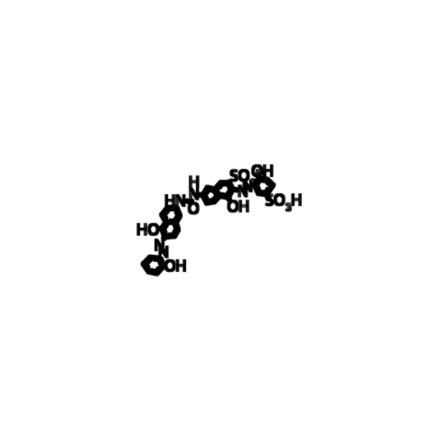 O=C(Nc1ccc2c(O)c(N=Nc3ccccc3O)ccc2c1)Nc1ccc2c(O)c(N=Nc3cc(S(=O)(=O)O)ccc3O)c(S(=O)(=O)O)cc2c1